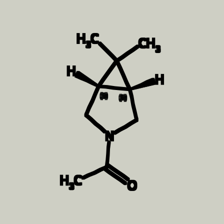 CC(=O)N1C[C@@H]2[C@H](C1)C2(C)C